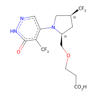 O=C(O)CCOC[C@@H]1C[C@H](C(F)(F)F)CN1c1cn[nH]c(=O)c1C(F)(F)F